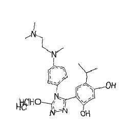 CC(C)c1cc(-c2nnc(O)n2-c2ccc(N(C)CCN(C)C)cc2)c(O)cc1O.Cl.Cl